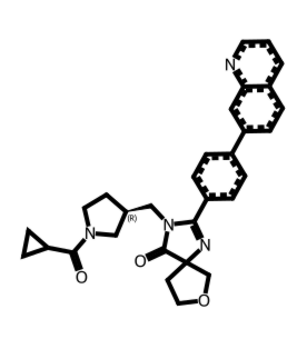 O=C(C1CC1)N1CC[C@@H](CN2C(=O)C3(CCOC3)N=C2c2ccc(-c3ccc4cccnc4c3)cc2)C1